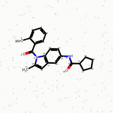 COc1ccccc1C(=O)n1c(C)cc2cc(NC(=O)C3CCCC3)ccc21